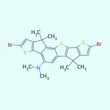 CN(C)c1cc2c3c(sc2c2c1-c1sc(Br)cc1C2(C)C)-c1sc(Br)cc1C3(C)C